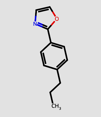 CCCc1ccc(-c2ncco2)cc1